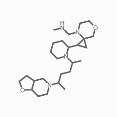 CNCN1CCOCC12CC2C1CCCCN1C(C)CCC(C)N1CCC2OCCC2C1